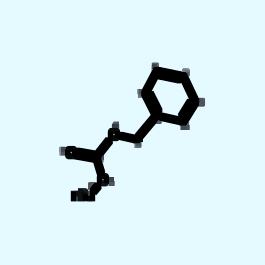 CCCCOC(=O)O[CH]c1ccccc1